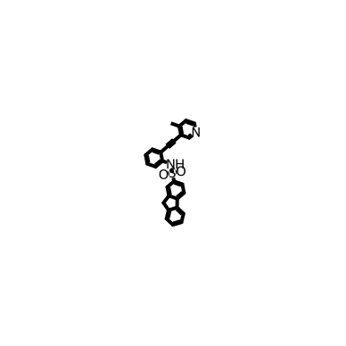 Cc1ccncc1C#Cc1ccccc1NS(=O)(=O)c1ccc2c(c1)Cc1ccccc1-2